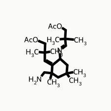 CC(=O)OCC(C)(C)C=NC1CC(C)(C)CC(C)(CN)C1=CC(C)(C)COC(C)=O